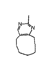 Cc1ncc2c(n1)CCCCCCC2